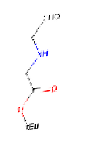 CC(C)(C)OC(=O)CNCC=O